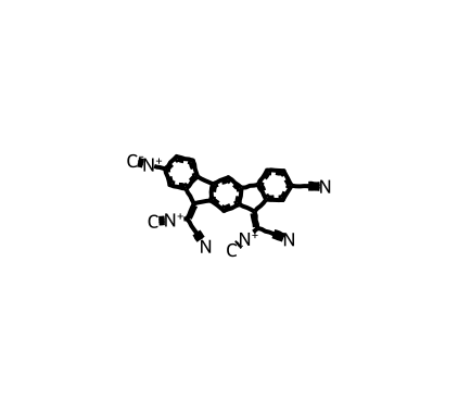 [C-]#[N+]/C(C#N)=C1/c2cc(C#N)ccc2-c2cc3c(cc21)/C(=C(\C#N)[N+]#[C-])c1cc([N+]#[C-])ccc1-3